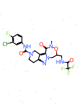 CN1OC(CNC(=O)C(F)(F)F)Cn2nc3c(c2C1=O)CN(C(=O)Nc1ccc(F)c(Cl)c1)CC3